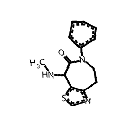 CNC1C(=O)N(c2ccccc2)CCc2ncsc21